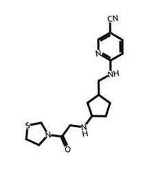 N#Cc1ccc(NCC2CCC(NCC(=O)N3CCSC3)C2)nc1